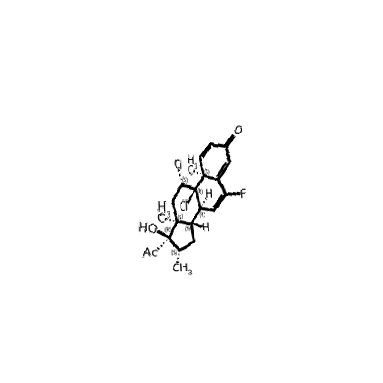 CC(=O)[C@@]1(O)[C@@H](C)C[C@H]2[C@@H]3C=C(F)C4=CC(=O)C=C[C@]4(C)[C@@]3(Cl)[C@@H](Cl)C[C@@]21C